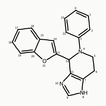 c1ccc(N2CCc3[nH]cnc3C2c2cc3ccccc3o2)cc1